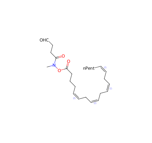 CCCCC/C=C\C/C=C\C/C=C\C/C=C\CCCC(=O)ON(C)C(=O)CCC=O